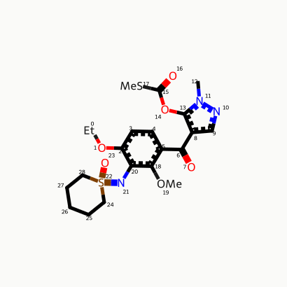 CCOc1ccc(C(=O)c2cnn(C)c2OC(=O)SC)c(OC)c1N=S1(=O)CCCCC1